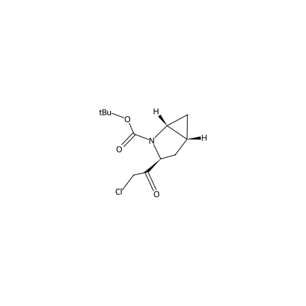 CC(C)(C)OC(=O)N1[C@@H]2C[C@@H]2C[C@H]1C(=O)CCl